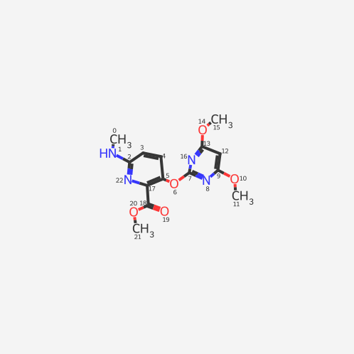 CNc1ccc(Oc2nc(OC)cc(OC)n2)c(C(=O)OC)n1